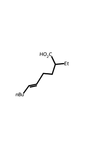 CCCCC=CCCC(CC)C(=O)O